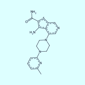 Cc1cccc(N2CCN(c3cncc4sc(C(N)=O)c(N)c34)CC2)n1